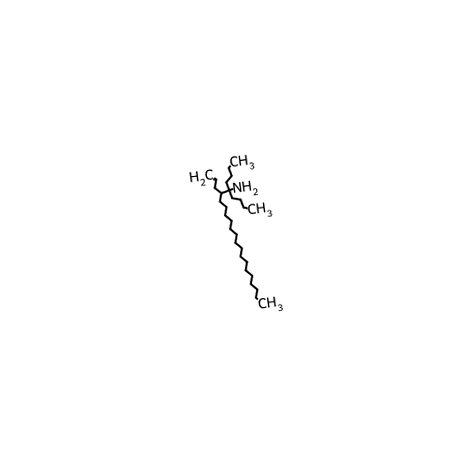 C=CCC(CCCCCCCCCCCCCCCC)C(N)(CCCC)CCCC